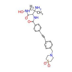 CC(C)(N)C(NC(=O)c1ccc(C#Cc2ccc(CN3CCS(=O)(=O)CC3)cc2)cc1)C(=O)NO